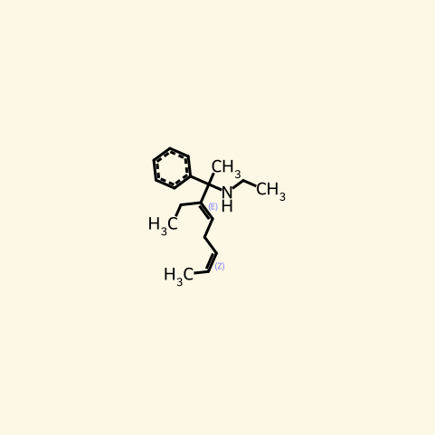 C/C=C\C/C=C(\CC)C(C)(NCC)c1ccccc1